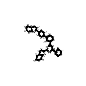 c1ccc(-c2cc(-c3cccc(-c4ccc(-c5ccc6ccccc6n5)cc4)c3)nc(-c3ccc4ccccc4n3)n2)cc1